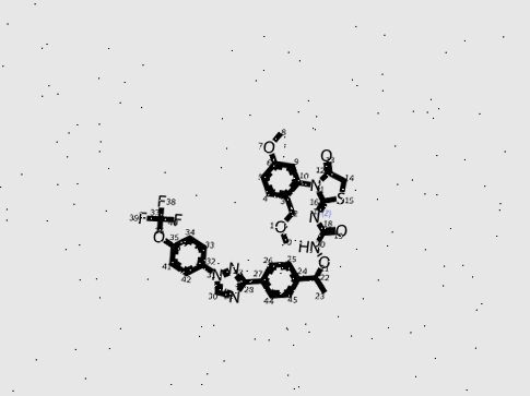 COCc1ccc(OC)cc1N1C(=O)CS/C1=N\C(=O)NOC(C)c1ccc(-c2ncn(-c3ccc(OC(F)(F)F)cc3)n2)cc1